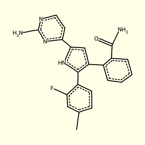 Cc1ccc(-c2[nH]c(-c3ccnc(N)n3)cc2-c2ccccc2C(N)=O)c(F)c1